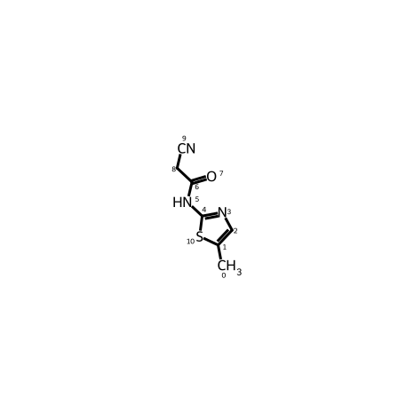 Cc1cnc(NC(=O)CC#N)s1